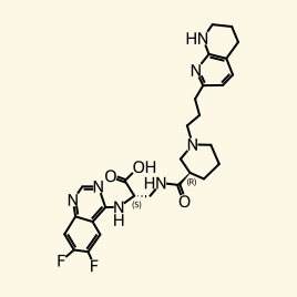 O=C(NC[C@H](Nc1ncnc2cc(F)c(F)cc12)C(=O)O)[C@@H]1CCCN(CCCc2ccc3c(n2)NCCC3)C1